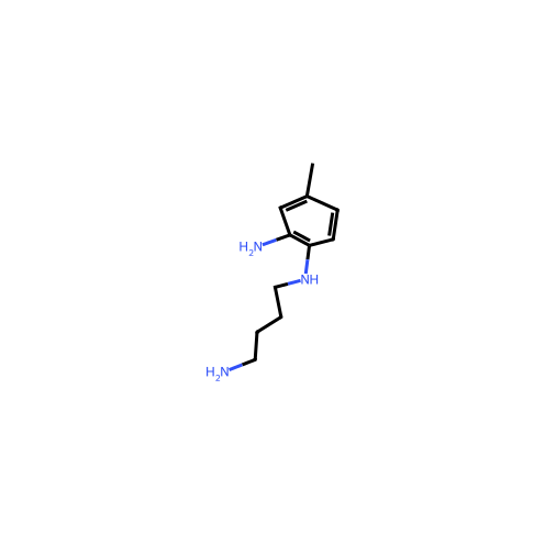 Cc1ccc(NCCCCN)c(N)c1